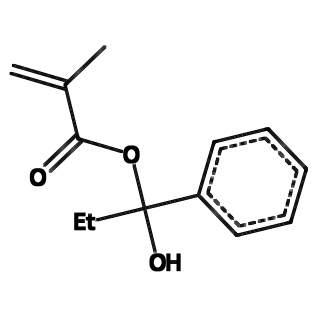 C=C(C)C(=O)OC(O)(CC)c1ccccc1